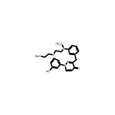 COCCOCCN(C(=O)O)c1cccc(Cc2nn(-c3cccc(C#N)c3)ccc2=O)c1